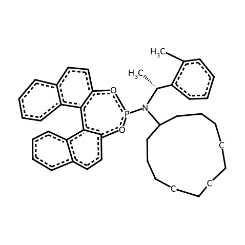 Cc1ccccc1[C@@H](C)N(C1CCCCCCCCCCC1)p1oc2ccc3ccccc3c2c2c(ccc3ccccc32)o1